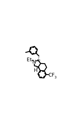 CCN1C[C@@H]2c3cccc(C(F)(F)F)c3CCC2[C@H]1Cc1cccc(C)c1